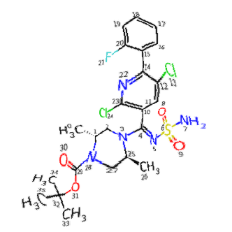 C[C@@H]1CN(C(=NS(N)(=O)=O)c2cc(Cl)c(-c3ccccc3F)nc2Cl)[C@@H](C)CN1C(=O)OC(C)(C)C